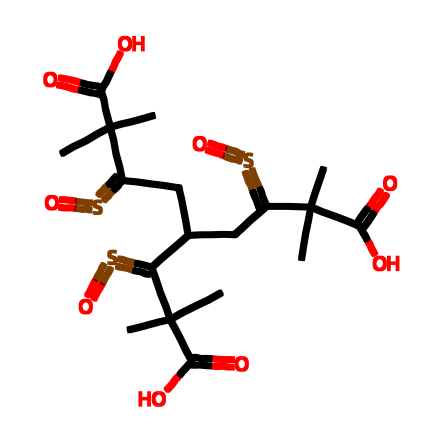 CC(C)(C(=O)O)C(CC(CC(=S=O)C(C)(C)C(=O)O)C(=S=O)C(C)(C)C(=O)O)=S=O